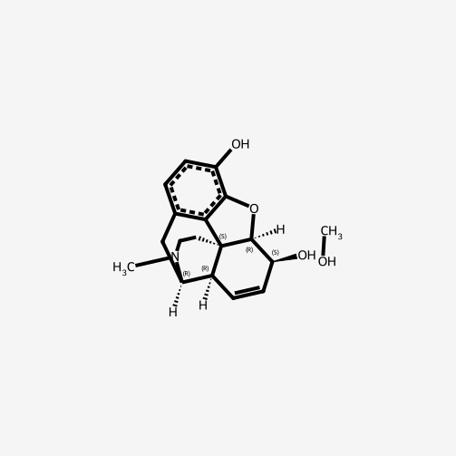 CN1CC[C@]23c4c5ccc(O)c4O[C@H]2[C@@H](O)C=C[C@H]3[C@H]1C5.CO